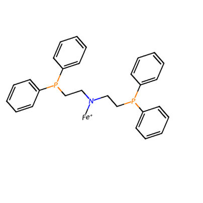 [Fe+][N](CCP(c1ccccc1)c1ccccc1)CCP(c1ccccc1)c1ccccc1